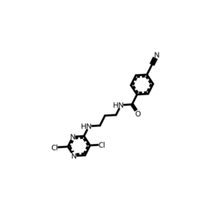 N#Cc1ccc(C(=O)NCCCNc2nc(Cl)ncc2Cl)cc1